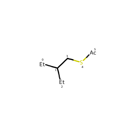 CCC(CC)CSC(C)=O